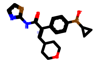 O=C(Nc1nccs1)/C(=C/C1CCOCC1)c1ccc([S+]([O-])C2CC2)cc1